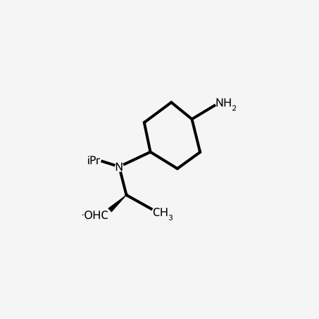 CC(C)N(C1CCC(N)CC1)[C@@H](C)[C]=O